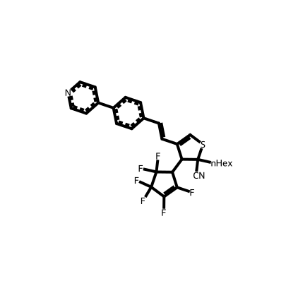 CCCCCCC1(C#N)SC=C(C=Cc2ccc(-c3ccncc3)cc2)C1C1C(F)=C(F)C(F)(F)C1(F)F